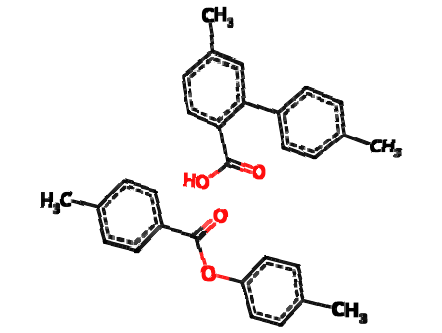 Cc1ccc(-c2cc(C)ccc2C(=O)O)cc1.Cc1ccc(OC(=O)c2ccc(C)cc2)cc1